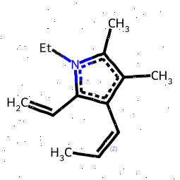 C=Cc1c(/C=C\C)c(C)c(C)n1CC